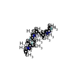 Cc1ccc(C)c(-c2ccc3c(CC(C)CCC(C)Cc4cc5c(ccc(-c6cc(CCc7cc(C)cc(-c8ccc9c(CC(C)C)c(F)ccc9[n+]8C)c7C)cc(C)c6C)[n+]5C)cc4F)c(F)c(CC(C)C)cc3[n+]2C)c1